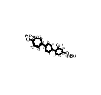 CCCCCOc1ccc(-c2ccc(-c3ccc(OCCCC)cc3O)cc2)cc1